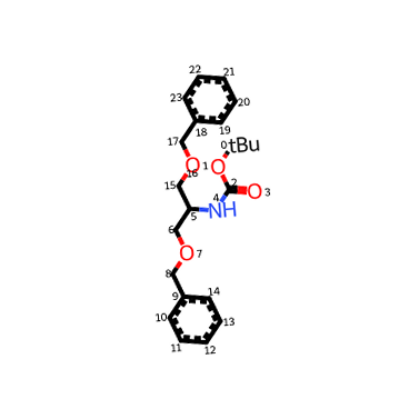 CC(C)(C)OC(=O)NC(COCc1ccccc1)COCc1ccccc1